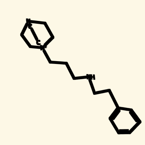 c1ccc(CCNCCC[N+]23CCN(CC2)CC3)cc1